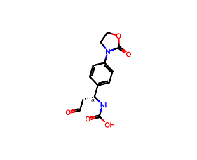 O=CC[C@@H](NC(=O)O)c1ccc(N2CCOC2=O)cc1